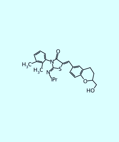 Cc1cccc(N2C(=O)/C(=C/c3ccc4c(c3)CCC(CO)O4)S/C2=N\C(C)C)c1C